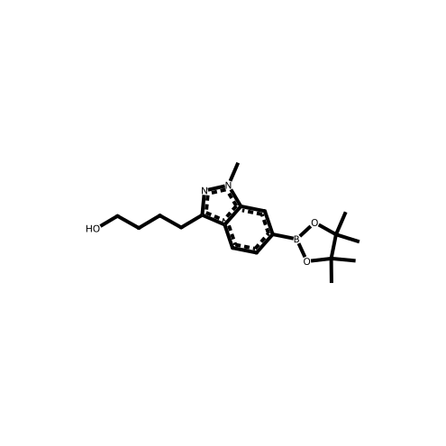 Cn1nc(CCCCO)c2ccc(B3OC(C)(C)C(C)(C)O3)cc21